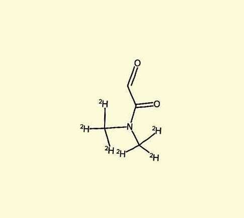 [2H]C([2H])([2H])N(C(=O)C=O)C([2H])([2H])[2H]